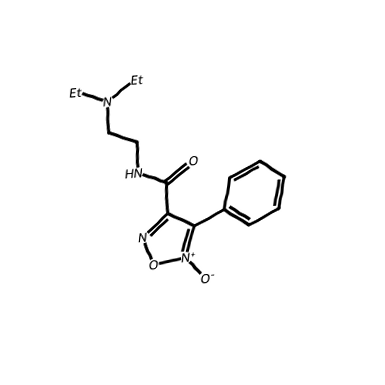 CCN(CC)CCNC(=O)c1no[n+]([O-])c1-c1ccccc1